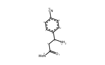 CNC(=O)CC(N)c1ccc(C#N)cc1